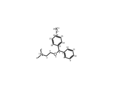 CN(C)CCOC(c1ccccc1)c1ccccc1.[F-].[K+]